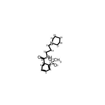 CS(=O)(=O)c1ccccc1C(=O)NCCCN1CCCCC1